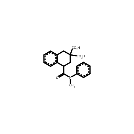 CN(C(=O)C1CC(C(=O)O)(C(=O)O)Cc2ccccc21)c1ccccc1